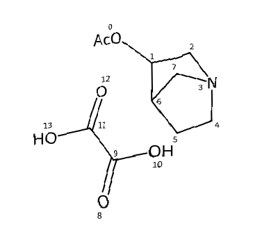 CC(=O)OC1CN2CCC1C2.O=C(O)C(=O)O